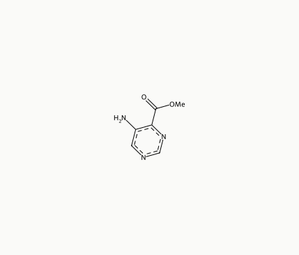 COC(=O)c1ncncc1N